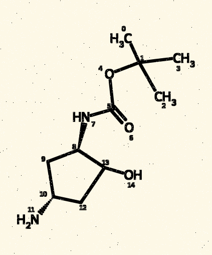 CC(C)(C)OC(=O)N[C@@H]1C[C@@H](N)CC1O